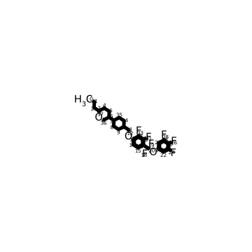 CCCC1CCC(C2CCC(COc3ccc(C(F)(F)Oc4cc(F)c(F)c(F)c4)c(F)c3F)CC2)CO1